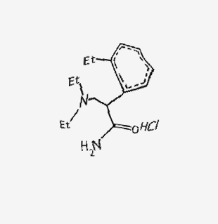 CCc1ccccc1C(C(N)=O)N(CC)CC.Cl